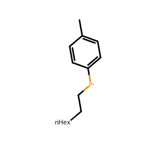 CCCCCCCC[P]c1ccc(C)cc1